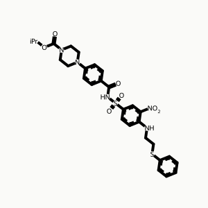 CC(C)OC(=O)N1CCN(c2ccc(C(=O)NS(=O)(=O)c3ccc(NCCSc4ccccc4)c([N+](=O)[O-])c3)cc2)CC1